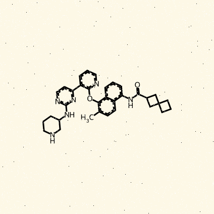 Cc1ccc2c(NC(=O)C3CC4(CCC4)C3)cccc2c1Oc1ncccc1-c1ccnc(NC2CCCNC2)n1